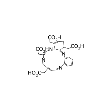 O=C(O)Cc1ccnc2ccccc2nc2c(CC(=O)O)ccc(CC(=O)O)c2ncc(CC(=O)O)nc1